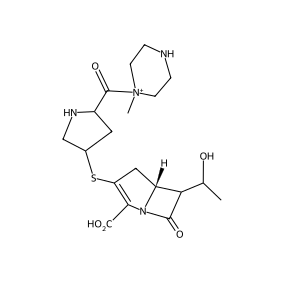 CC(O)C1C(=O)N2C(C(=O)O)=C(SC3CNC(C(=O)[N+]4(C)CCNCC4)C3)C[C@H]12